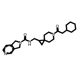 O=C(CC1CCCCC1)N1CCC2(CC1)CC2CNC(=O)N1Cc2ccncc2C1